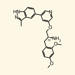 COc1ccc(C[C@H](N)COc2cncc(-c3ccc4[nH]nc(C)c4c3)c2)c(OC)c1